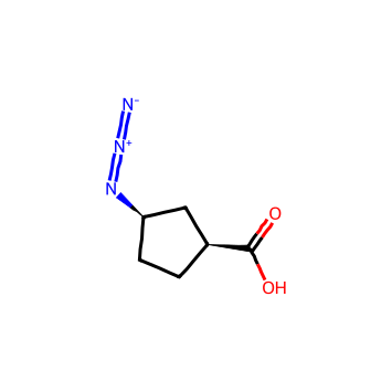 [N-]=[N+]=N[C@@H]1CC[C@H](C(=O)O)C1